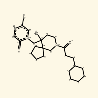 O=C(CCC1CCCCC1)N1CCC(O)(Cn2cc(Br)ncc2=O)C2(CCCC2)C1